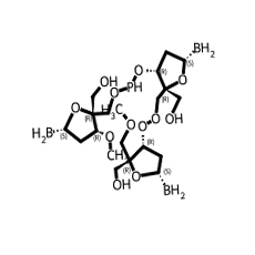 B[C@H]1C[C@@H](OC)[C@@](CO)(COPO[C@@H]2C[C@H](B)O[C@]2(CO)COO[C@@H]2C[C@H](B)O[C@]2(CO)COC)O1